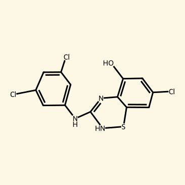 Oc1cc(Cl)cc2c1N=C(Nc1cc(Cl)cc(Cl)c1)NS2